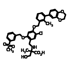 Cc1c(COc2cc(OCc3cccc(S(C)(=O)=O)c3)c(CNC(C)(CO)C(=O)O)cc2Cl)cccc1-c1ccc2c(c1)OCCO2